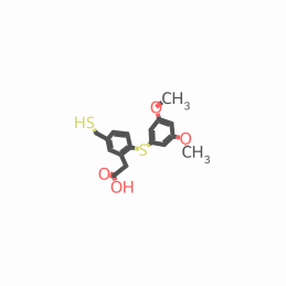 COc1cc(OC)cc(Sc2ccc(CS)cc2CC(=O)O)c1